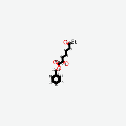 CCC(=O)CCCCC(=O)C(=O)OCc1ccccc1